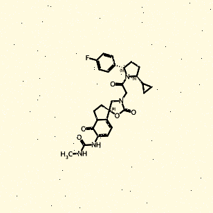 CNC(=O)NC1=CC=C2C(CC[C@]23CN(CC(=O)N2[C@H](c4ccc(F)cc4)CC[C@H]2C2CC2)C(=O)O3)C1=O